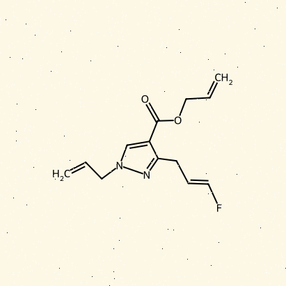 C=CCOC(=O)c1cn(CC=C)nc1CC=CF